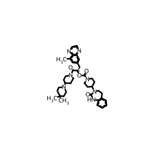 Cc1cc(C[C@@H](OC(=O)N2CCC(N3CCc4ccccc4NC3=O)CC2)C(=O)N2CCC(N3CCC(C)(C)CC3)CC2)cc2nccnc12